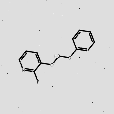 Fc1ncccc1OBOc1ccccc1